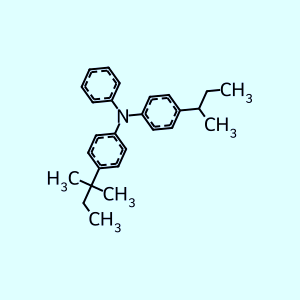 CCC(C)c1ccc(N(c2ccccc2)c2ccc(C(C)(C)CC)cc2)cc1